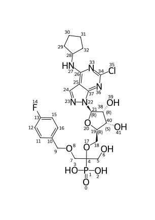 O=P(O)(O)C(CO)(COCc1ccc(F)cc1)OC[C@H]1O[C@@H](n2ncc3c(NC4CCCC4)nc(Cl)nc32)[C@H](O)[C@@H]1O